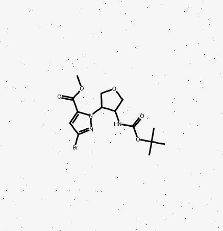 COC(=O)c1cc(Br)nn1C1COCC1NC(=O)OC(C)(C)C